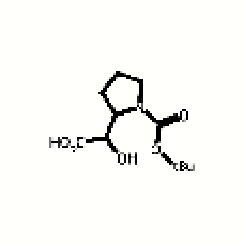 CC(C)(C)OC(=O)N1CCCC1C(O)C(=O)O